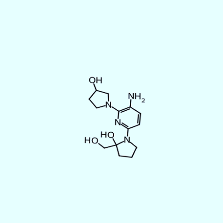 Nc1ccc(N2CCCC2(O)CO)nc1N1CCC(O)C1